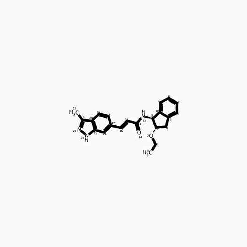 CCO[C@H]1Cc2ccccc2[C@@H]1NC(=O)/C=C/c1ccc2c(C)n[nH]c2c1